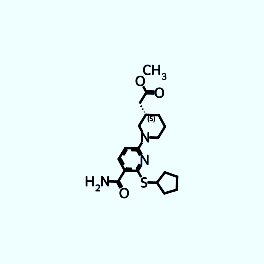 COC(=O)C[C@@H]1CCCN(c2ccc(C(N)=O)c(SC3CCCC3)n2)C1